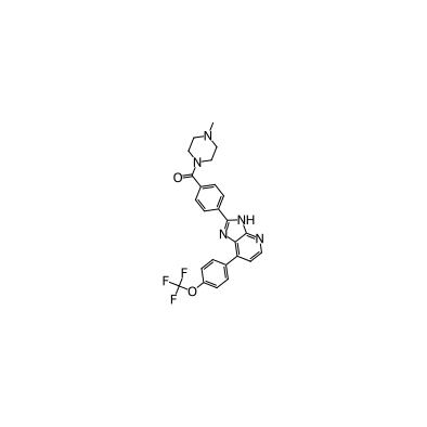 CN1CCN(C(=O)c2ccc(-c3nc4c(-c5ccc(OC(F)(F)F)cc5)ccnc4[nH]3)cc2)CC1